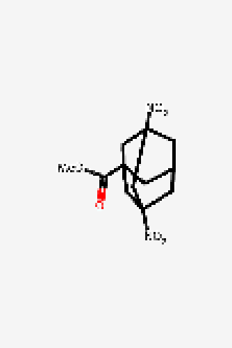 COC(=O)C12CC3CC([N+](=O)[O-])(C1)CC([N+](=O)[O-])(C3)C2